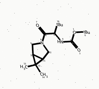 CC(C)(C)OC(=O)NC(C(=O)N1CC2C(C1)C2(C)C)C(C)(C)C